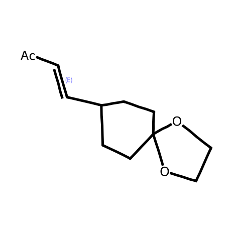 CC(=O)/C=C/C1CCC2(CC1)OCCO2